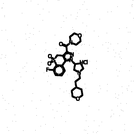 Cl.O=C(c1nn(C2CCN(CCC3CCOCC3)C2)c2c1CS(=O)(=O)c1c(F)cccc1-2)N1CCOCC1